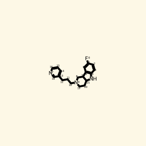 Fc1ccc2c(c1)C1CN(CCCc3cccnc3)CCC1N2